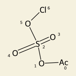 CC(=O)OS(=O)(=O)OCl